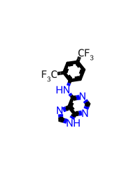 FC(F)(F)c1ccc(Nc2ncnc3[nH]cnc23)c(C(F)(F)F)c1